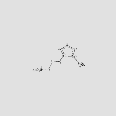 CCCCn1cccc1CCCS(=O)(=O)O